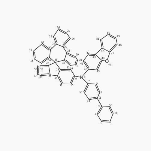 c1ccc(-c2ccc(N(c3ccc4c(c3)C3(c5ccccc5-c5ccccc5-c5ccccc53)c3ccccc3-4)c3ccc4c(c3)oc3ccccc34)cc2)cc1